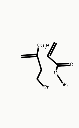 C=C(CCC(C)C)C(=O)O.C=CC(=O)OC(C)C